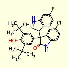 CC(C)(C)c1cc(C2(C3CNc4cc(F)ccc43)C(=O)Nc3ccc(Cl)cc32)cc(C(C)(C)C)c1O